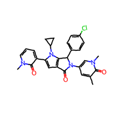 Cc1cc(N2C(=O)c3cc(-c4cccn(C)c4=O)n(C4CC4)c3C2c2ccc(Cl)cc2)cn(C)c1=O